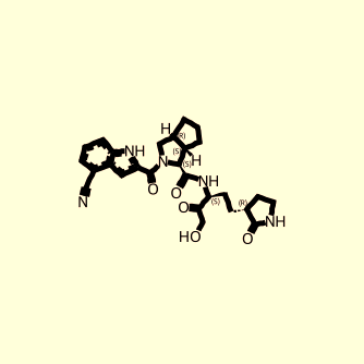 N#Cc1cccc2[nH]c(C(=O)N3C[C@@H]4CCC[C@@H]4[C@H]3C(=O)N[C@@H](CC[C@@H]3CCNC3=O)C(=O)CO)cc12